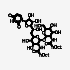 CCCCCCCCC(=O)NC1C(OC2OC(C[C@@H](O)[C@H]3O[C@@H](n4ccc(=O)[nH]c4=O)[C@H](O)[C@@H]3O)C(O)C(O)C2NC(=O)CCCCCCCC)OC(CO)C(O)C1O